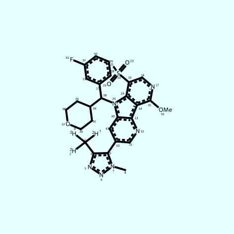 [2H]C([2H])([2H])c1nnn(C)c1-c1cnc2c3c(OC)ncc(S(C)(=O)=O)c3n(C(c3cccc(F)c3)C3CCOCC3)c2c1